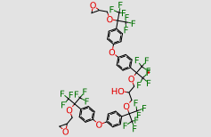 OC(COC(c1ccc(Oc2ccc(C(OCC3CO3)(C(F)(F)F)C(F)(F)F)cc2)cc1)(C(F)(F)F)C(F)(F)F)COC(c1ccc(Oc2ccc(C(OCC3CO3)(C(F)(F)F)C(F)(F)F)cc2)cc1)(C(F)(F)F)C(F)(F)F